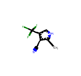 Cc1[nH]cc(C(F)(F)F)c1C#N